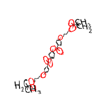 C=C(C)C(=O)OCCCCOc1ccc(C(=O)Oc2ccc(OC(=O)c3ccc(OCCCCOC(=O)C(=C)C)cc3)cc2)cc1